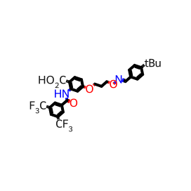 CC(C)(C)c1ccc(C=NOCCCOc2ccc(C(=O)O)c(NC(=O)c3cc(C(F)(F)F)cc(C(F)(F)F)c3)c2)cc1